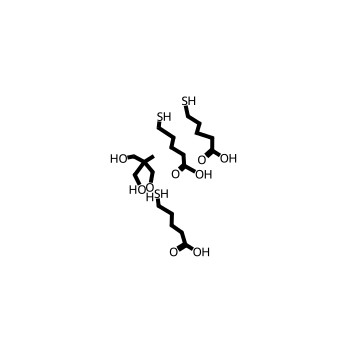 CC(CO)(CO)CO.O=C(O)CCCCS.O=C(O)CCCCS.O=C(O)CCCCS